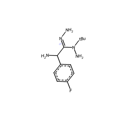 CC(C)(C)N(N)/C(=N\N)C(N)c1ccc(F)cc1